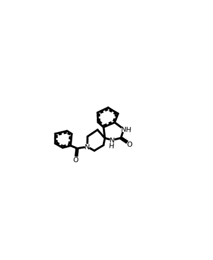 O=C1Nc2ccccc2C2(CCN(C(=O)c3ccccc3)CC2)N1